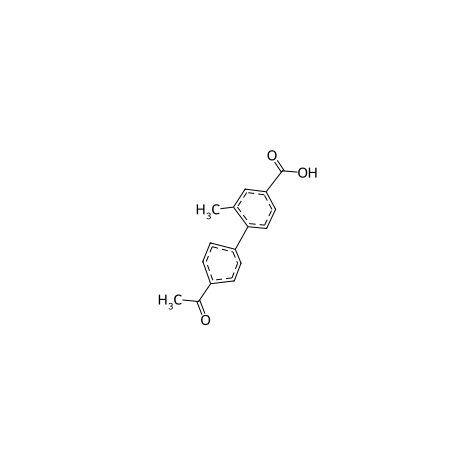 CC(=O)c1ccc(-c2ccc(C(=O)O)cc2C)cc1